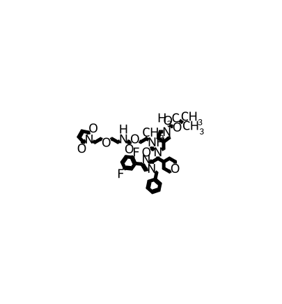 C[C@@H](COC(=O)NCCOCCN1C(=O)C=CC1=O)NC(=O)N(CC1CCN(C(=O)OC(C)(C)C)C1)C(c1nc(-c2cc(F)ccc2F)cn1Cc1ccccc1)C1CCOCC1